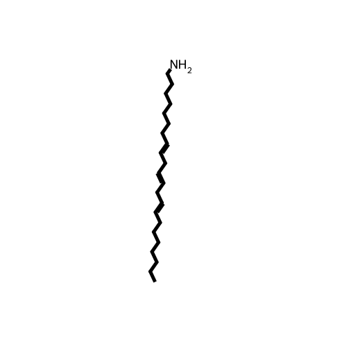 CCCCCCCC=CCC=CCC=CCCCCCCCN